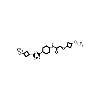 O=C(CO[C@H]1C[C@@H](OC(F)(F)F)C1)N[C@H]1CC[C@H](c2nnc([C@H]3C[C@@H](OC(F)(F)F)C3)o2)CC1